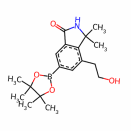 CC1(C)NC(=O)c2cc(B3OC(C)(C)C(C)(C)O3)cc(CCO)c21